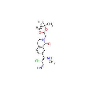 CN/C(=C(/Cl)C=N)c1ccc2c(c1)C(=O)N(CC(=O)OC(C)(C)C)CC2